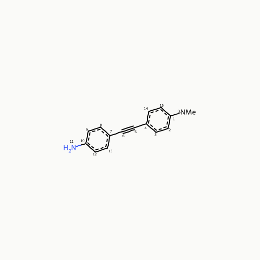 CNc1ccc(C#Cc2ccc(N)cc2)cc1